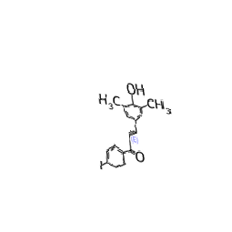 Cc1cc(/C=C/C(=O)c2ccc(I)cc2)cc(C)c1O